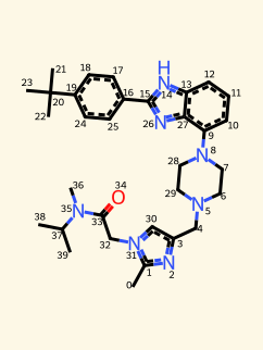 Cc1nc(CN2CCN(c3cccc4[nH]c(-c5ccc(C(C)(C)C)cc5)nc34)CC2)cn1CC(=O)N(C)C(C)C